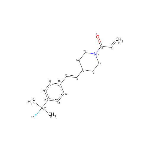 C=CC(=O)N1CCC(/C=C/c2ccc(C(C)(C)F)cc2)CC1